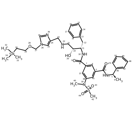 C[C@@H](NC(=O)c1cc(C(=O)N[C@@H](Cc2ccccc2)[C@H](O)CNCc2cn(COCC[Si](C)(C)C)cn2)cc(N(C)S(C)(=O)=O)c1)c1ccccc1